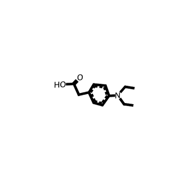 CCN(CC)c1ccc(CC(=O)O)cc1